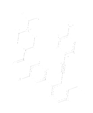 CCc1nccc(-c2ccc(C(=O)N3CCN(C(C)C)C(C)C3)c(F)c2)c1C#Cc1ccc(N)nc1